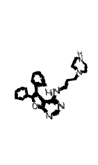 c1ccc(-c2oc3ncnc(NCCCN4CCNCC4)c3c2-c2ccccc2)cc1